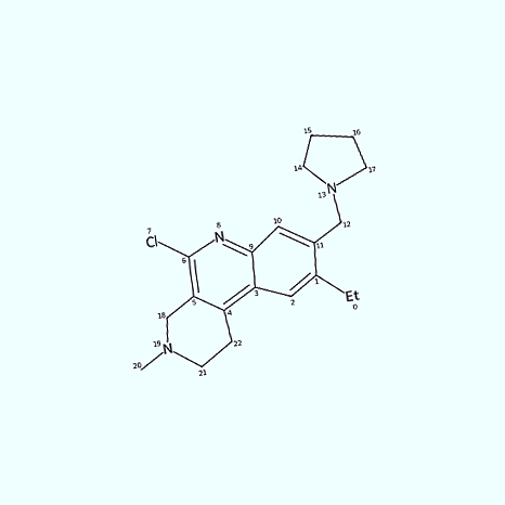 CCc1cc2c3c(c(Cl)nc2cc1CN1CCCC1)CN(C)CC3